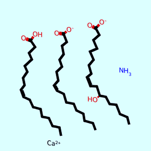 CCCCCCCC/C=C\CCCCCCCC(=O)O.CCCCCCCC/C=C\CCCCCCCC(=O)[O-].CCCCCC[C@@H](O)C/C=C\CCCCCCCC(=O)[O-].N.[Ca+2]